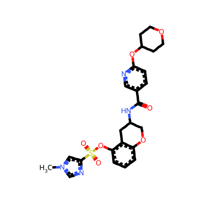 Cn1cnc(S(=O)(=O)Oc2cccc3c2CC(NC(=O)c2ccc(OC4CCOCC4)nc2)CO3)c1